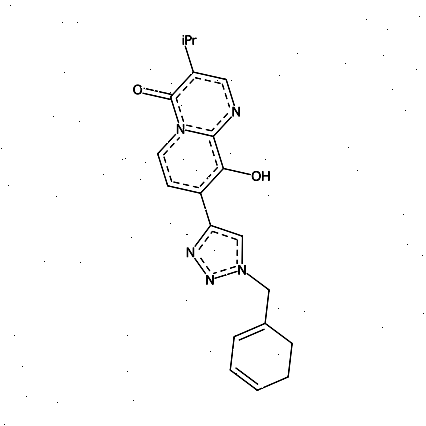 CC(C)c1cnc2c(O)c(-c3cn(CC4=CC=CCC4)nn3)ccn2c1=O